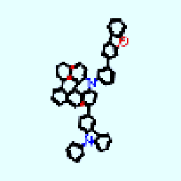 c1ccc(-n2c3ccccc3c3cc(-c4ccc(N(c5cccc(-c6ccc7c(c6)oc6ccccc67)c5)c5ccccc5-c5cccc6cccc(C7CCCCC7)c56)cc4)ccc32)cc1